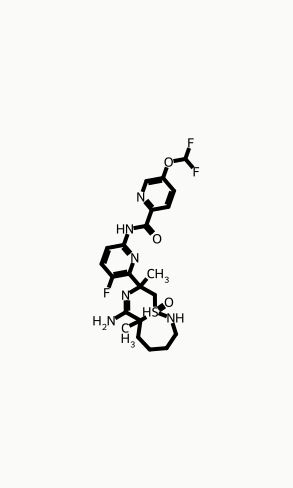 CC1(c2nc(NC(=O)c3ccc(OC(F)F)cn3)ccc2F)C[SH]2(=O)NCCCCC2(C)C(N)=N1